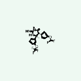 C=C1[C@@H](c2ccc(OC(F)F)cc2)[C@@](C)(c2cccc(OC(F)(F)F)c2)NC(=N)N1C